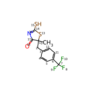 CC1(Cc2ccc(C(F)(F)F)cc2)SC(S)=NC1=O